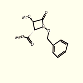 COC(=O)[C@@H]1[C@@H](OC)C(=O)N1OCc1ccccc1